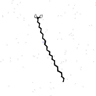 CCCCCCCCCCCCCC/C=C/CCCCCCCC(=O)Cl